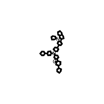 c1ccc(-c2ccc(N(c3ccc(-c4ccc5c6ccc7ccccc7c6n(-c6ccccc6)c5c4)cc3)c3ccc4c(c3)oc3cc(-c5ccccc5)ccc34)cc2)cc1